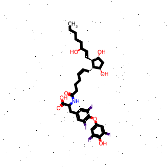 CCCCC[C@H](O)/C=C/[C@@H]1[C@@H](C/C=C\CCCC(=O)NC(Cc2cc(I)c(Oc3cc(I)c(O)c(I)c3)c(I)c2)C(=O)O)[C@@H](O)C[C@H]1O